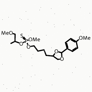 COCC(C)OP(=S)(OC)OCCCCC1COC(c2ccc(OC)cc2)O1